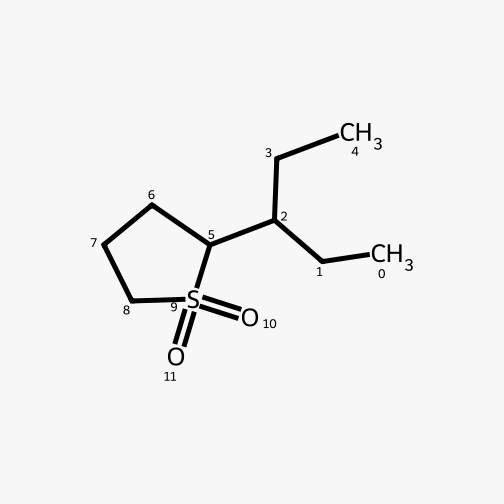 CCC(CC)C1CCCS1(=O)=O